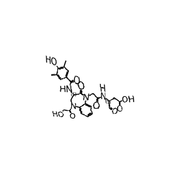 Cc1cc(C(=O)N[C@H]2CN(C(=O)CO)c3ccccc3N(CC(=O)N[C@H](C=O)CC(=O)O)C2=O)cc(C)c1O